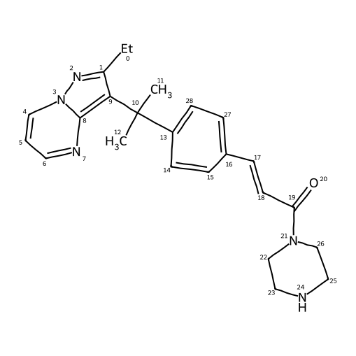 CCc1nn2cccnc2c1C(C)(C)c1ccc(C=CC(=O)N2CCNCC2)cc1